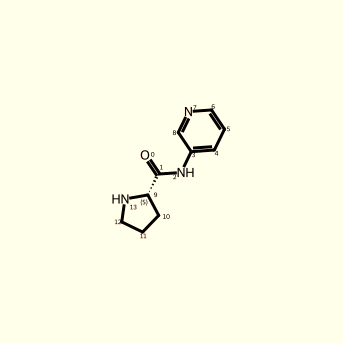 O=C(Nc1cccnc1)[C@@H]1CCCN1